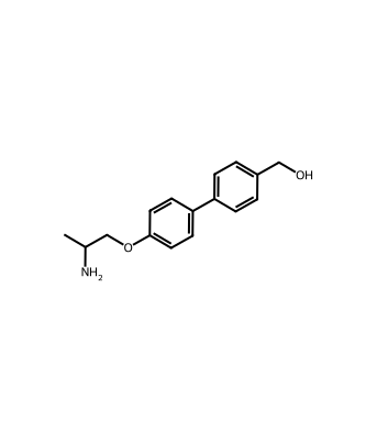 CC(N)COc1ccc(-c2ccc(CO)cc2)cc1